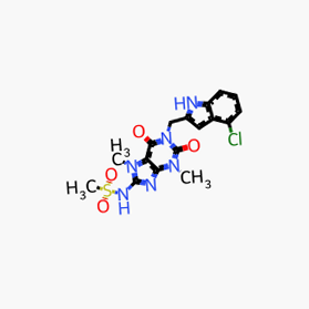 Cn1c(NS(C)(=O)=O)nc2c1c(=O)n(Cc1cc3c(Cl)cccc3[nH]1)c(=O)n2C